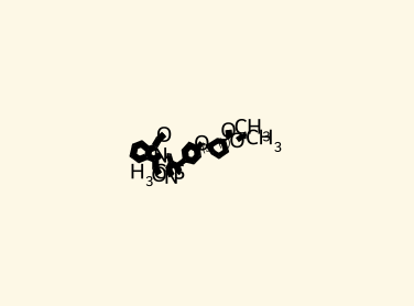 Cc1nsc(-c2ccc(O[C@H]3CCC[C@H](C(=O)OC(C)C)C3)cc2)c1Cn1c(=C=O)c2ccccc2c1=C=O